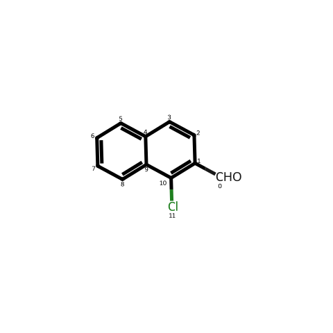 O=Cc1ccc2ccccc2c1Cl